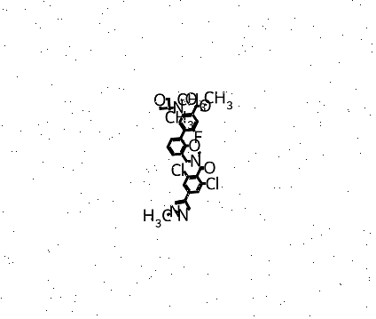 COC(=O)c1cc(F)c(-c2cccc3c2OCN(C(=O)c2c(Cl)cc(-c4cnn(C)c4)cc2Cl)C3)cc1N(C)C1(C)COC1